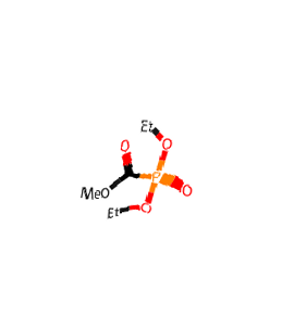 CCOP(=O)(OCC)C(=O)OC